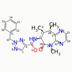 C[C@@H]1[C@H](NC(=O)c2cnn(Cc3ccccc3)n2)C(=O)N(C)c2nccnc2[C@@H]1C